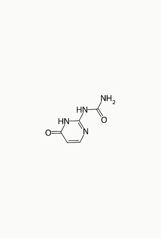 NC(=O)Nc1nccc(=O)[nH]1